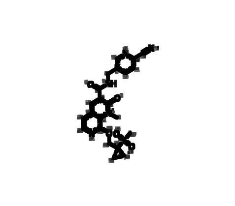 Cn1c(=O)c(C(=O)NCc2ccc(C#N)nc2)cc2ccnc(OCC3(S(C)(=O)=O)CC3)c21